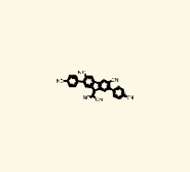 N#CC(C#N)=C1c2cc(-c3ccc(C#N)cc3)c(C#N)cc2-c2cc(C#N)c(-c3ccc(C#N)cc3)cc21